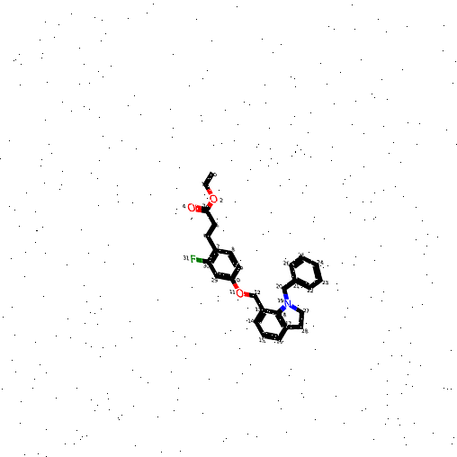 CCOC(=O)CCc1ccc(OCc2cccc3c2N(Cc2ccccc2)CC3)cc1F